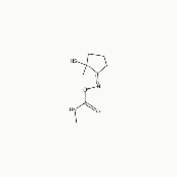 CNC(=O)ON=C1CCCC1(C)S